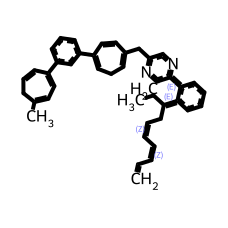 C=C/C=C\C=C/C/C(CC)=c1\cccc\c1=c1/ncc(CC2=CCC=C(c3cccc(C4=CC=C(C)CC=C4)c3)C=C2)nc1=C